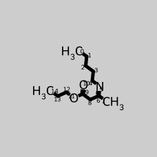 CCCCC/N=C(/C)CC(=O)OCCC